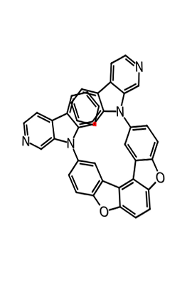 c1ccc2c(c1)c1ccncc1n2-c1ccc2oc3ccc4oc5ccc(-n6c7ccccc7c7ccncc76)cc5c4c3c2c1